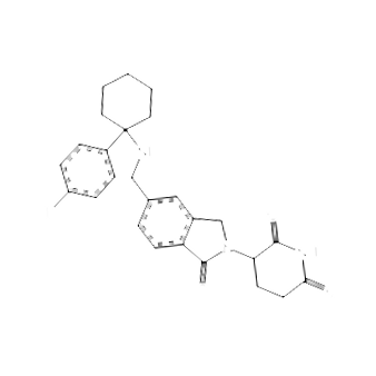 O=C1CCC(N2Cc3cc(CNC4(c5ccc(F)cc5)CCCCC4)ccc3C2=O)C(=O)N1